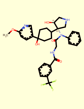 COc1ccc(C2(O)CCC([C@]3(N(C(=O)CNC(=O)c4cccc(C(F)(F)F)c4)c4ccccc4)CNC[C@@H]3O)CC2)cn1